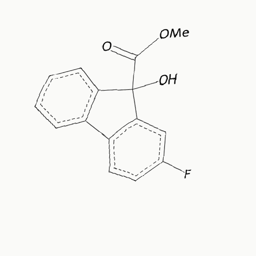 COC(=O)C1(O)c2ccccc2-c2ccc(F)cc21